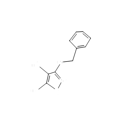 Cc1onc(N[CH]c2ccccc2)c1C